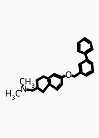 CN(C)CC1CCc2cc(OCc3cccc(-c4ccccc4)c3)ccc2C1